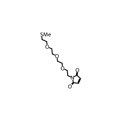 CSCCOCCOCCOCCN1C(=O)C=CC1=O